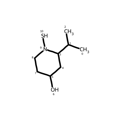 CC(C)C1CC(O)CCN1S